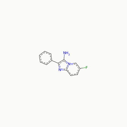 Nc1c(-c2ccccc2)nc2ccc(F)cn12